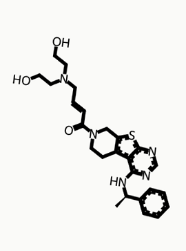 C[C@@H](Nc1ncnc2sc3c(c12)CCN(C(=O)/C=C/CN(CCO)CCO)C3)c1ccccc1